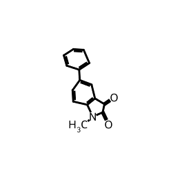 CN1C(=O)C(=O)c2cc(-c3ccccc3)ccc21